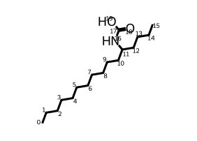 CCCCCCCCCCCC(CCCC)NC(=O)O